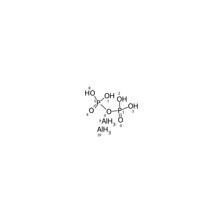 O=P(O)(O)OP(=O)(O)O.[AlH3].[AlH3]